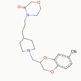 N#Cc1ccc2c(c1)OC(CN1CCC(CCCN3CCOCC3=O)CC1)CO2